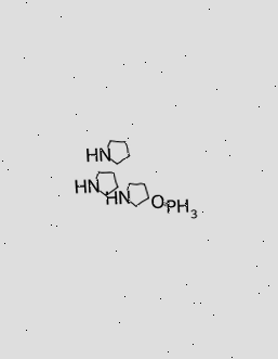 C1CCNC1.C1CCNC1.C1CCNC1.O=[PH3]